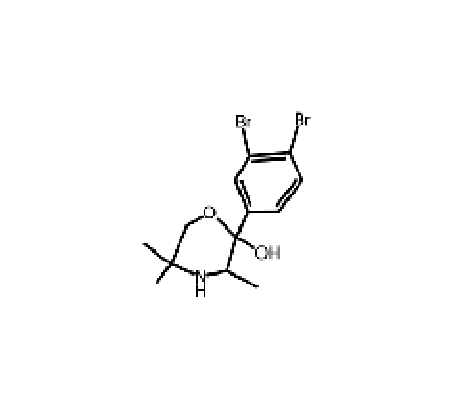 CC1NC(C)(C)COC1(O)c1ccc(Br)c(Br)c1